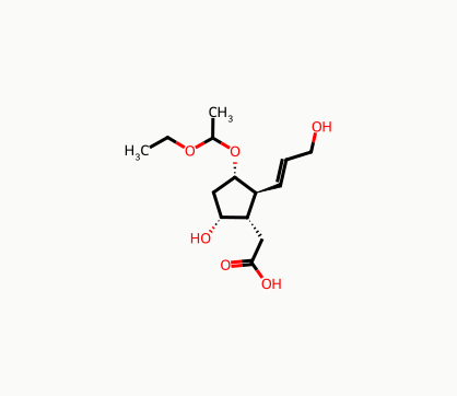 CCOC(C)O[C@H]1C[C@@H](O)[C@@H](CC(=O)O)[C@@H]1C=CCO